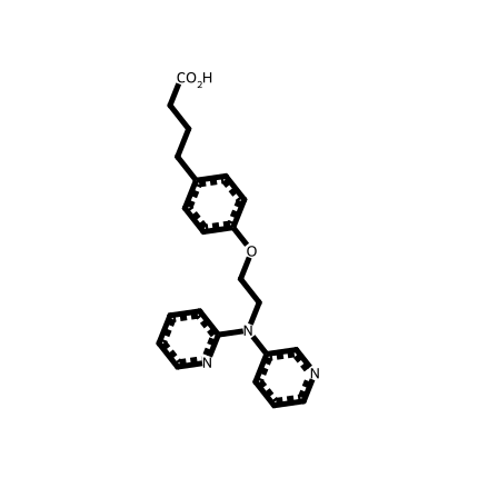 O=C(O)CCCc1ccc(OCCN(c2cccnc2)c2ccccn2)cc1